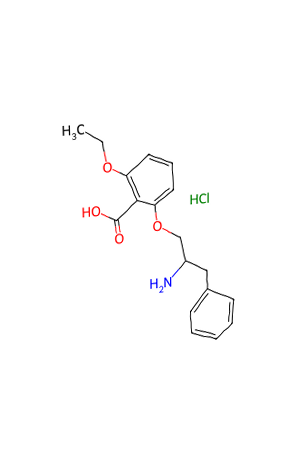 CCOc1cccc(OCC(N)Cc2ccccc2)c1C(=O)O.Cl